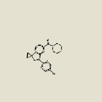 O=C(c1ccc2c(c1)N(c1ncc(Br)cn1)CC21CC1)N1CCOCC1